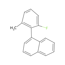 Cc1cccc(F)c1-c1cccc2ccccc12